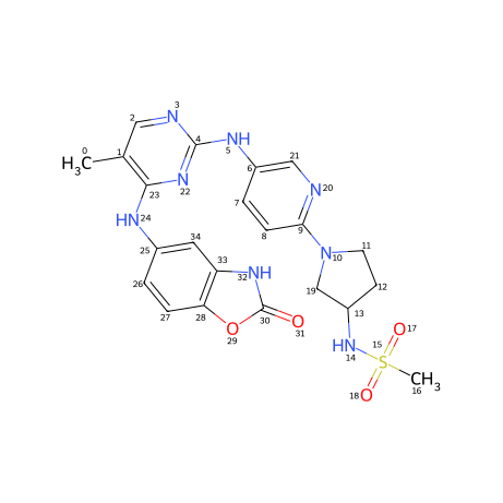 Cc1cnc(Nc2ccc(N3CCC(NS(C)(=O)=O)C3)nc2)nc1Nc1ccc2oc(=O)[nH]c2c1